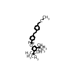 CCCCCc1ccc(CCc2ccc(C(F)(F)Oc3cc(C(C)(C)C)c(O)c(C(C)(C)C)c3)cc2)cc1